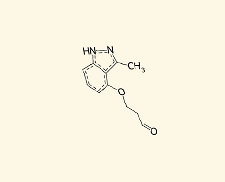 Cc1n[nH]c2cccc(OCCC=O)c12